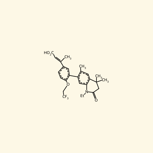 CCN1C(=O)CC(C)(C)c2cc(C)c(-c3cc(/C(C)=C/C(=O)O)ccc3OCC(F)(F)F)cc21